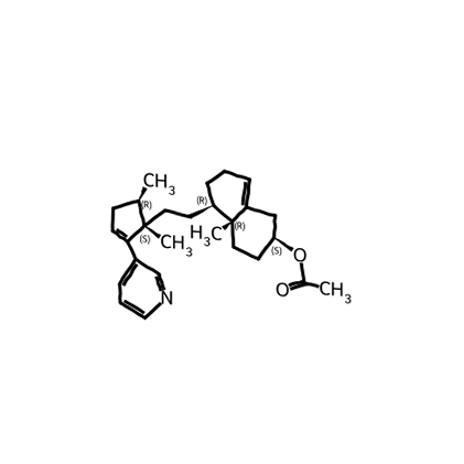 CC(=O)O[C@H]1CC[C@@]2(C)C(=CCC[C@@H]2CC[C@]2(C)C(c3cccnc3)=CC[C@H]2C)C1